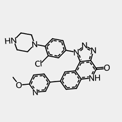 COc1ccc(-c2ccc3[nH]c(=O)c4nnn(-c5ccc(N6CCNCC6)c(Cl)c5)c4c3c2)cn1